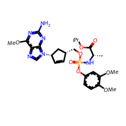 COc1ccc(OP(=O)(N[C@@H](C)C(=O)OC(C)C)OC[C@@H]2C=C[C@H](n3cnc4c(OC)nc(N)nc43)C2)cc1OC